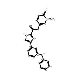 Cn1cc(CC(=O)c2nc(-c3cccc(Oc4ccccc4)c3)co2)ccc1=O